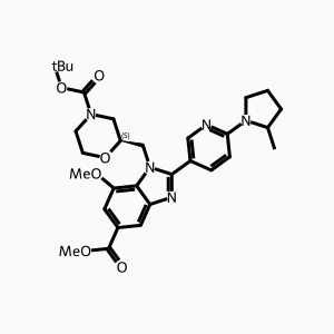 COC(=O)c1cc(OC)c2c(c1)nc(-c1ccc(N3CCCC3C)nc1)n2C[C@@H]1CN(C(=O)OC(C)(C)C)CCO1